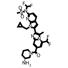 Cc1c(-c2cc3ccc(N(C(F)F)S(C)(=O)=O)nc3n2CC2CC2)nc2cc(C(=O)N3CCC[C@@H](N)C3)cc(C(F)F)n12